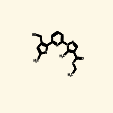 CCOC(=O)c1cnn(-c2cccc(-c3sc(C)cc3CO)n2)c1C